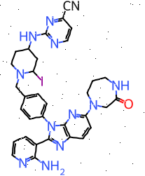 N#Cc1ccnc(NC2CCN(Cc3ccc(-n4c(-c5cccnc5N)nc5ccc(N6CCCNC(=O)C6)nc54)cc3)C(I)C2)n1